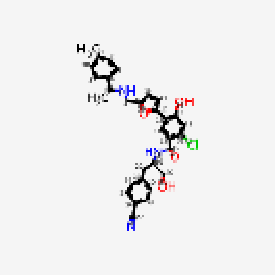 Cc1ccc(C(C)NCc2ccc(-c3cc(C(=O)N[C@@H](CO)Cc4ccc(C#N)cc4)c(Cl)cc3O)o2)cc1